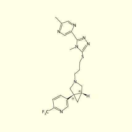 Cc1cnc(-c2nnc(SCCCN3C[C@@H]4C[C@]4(c4ccc(C(F)(F)F)nc4)C3)n2C)cn1